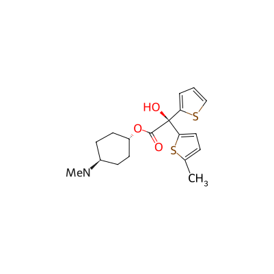 CN[C@H]1CC[C@H](OC(=O)[C@](O)(c2cccs2)c2ccc(C)s2)CC1